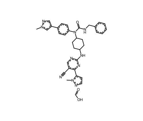 Cn1cc(-c2ccc(N(C(=O)NCc3ccccc3)C3CCC(Nc4ncc(C#N)c(-c5ccnn5C)n4)CC3)cc2)cn1.O=CO